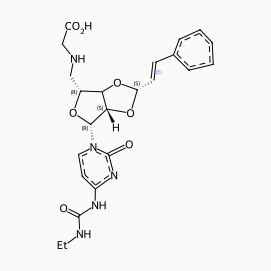 CCNC(=O)Nc1ccn([C@@H]2O[C@H](CNCC(=O)O)C3O[C@H](/C=C/c4ccccc4)O[C@@H]32)c(=O)n1